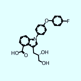 O=C(O)c1cccc2c1c(C[C@H](O)CO)cn2-c1ccc(Oc2ccc(F)cc2)cc1